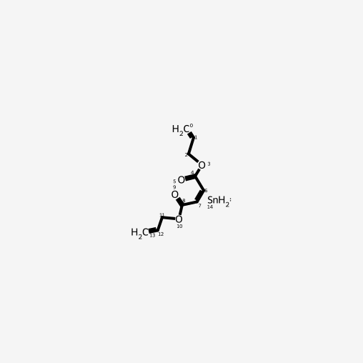 C=CCOC(=O)/C=C\C(=O)OCC=C.[SnH2]